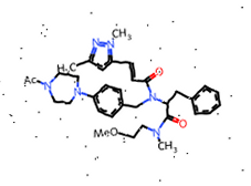 COCCN(C)C(=O)C(Cc1ccccc1)N(Cc1ccc(N2CCN(C(C)=O)CC2)cc1)C(=O)C=Cc1cc(C)nn1C